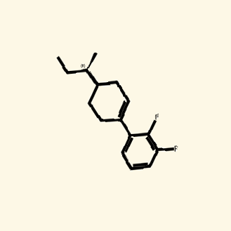 CC[C@@H](C)C1CC=C(c2cccc(F)c2F)CC1